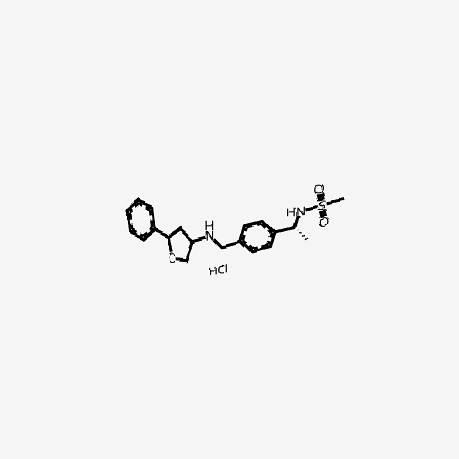 C[C@@H](NS(C)(=O)=O)c1ccc(CNC2COC(c3ccccc3)C2)cc1.Cl